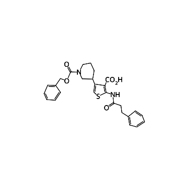 O=C(CCc1ccccc1)Nc1scc(C2CCCN(C(=O)OCc3ccccc3)C2)c1C(=O)O